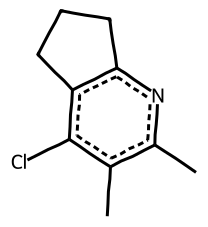 Cc1nc2c(c(Cl)c1C)CCC2